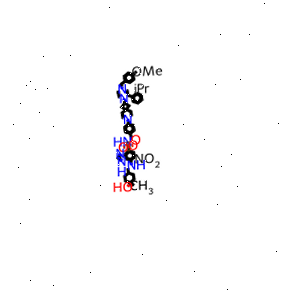 COc1ccc(CN2CCN(C3CC4(CCN(c5ccc(C(=O)NS(=O)(=O)c6cc([N+](=O)[O-])c(NCC7CCC(C)(O)CC7)c7[nH]cnc67)cc5)CC4)C3)C(c3ccccc3C(C)C)C2)cc1